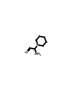 NC(C=O)N1CCCCC1